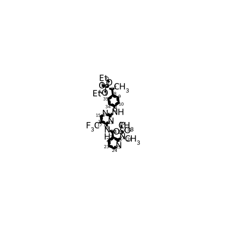 CCOP(=O)(OCC)C(C)c1ccc(Nc2ncc(C(F)(F)F)c(NCc3cccnc3N(C)S(C)(=O)=O)n2)cc1